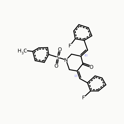 Cc1ccc(S(=O)(=O)N2C/C(=C/c3ccccc3F)C(=O)/C(=C/c3ccccc3F)C2)cc1